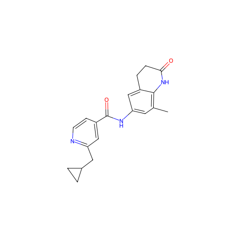 Cc1cc(NC(=O)c2ccnc(CC3CC3)c2)cc2c1NC(=O)CC2